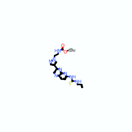 C=CCNC(=S)Nc1ccc2ncc(-c3cnn(CCNC(=O)OC(C)(C)C)c3)nc2n1